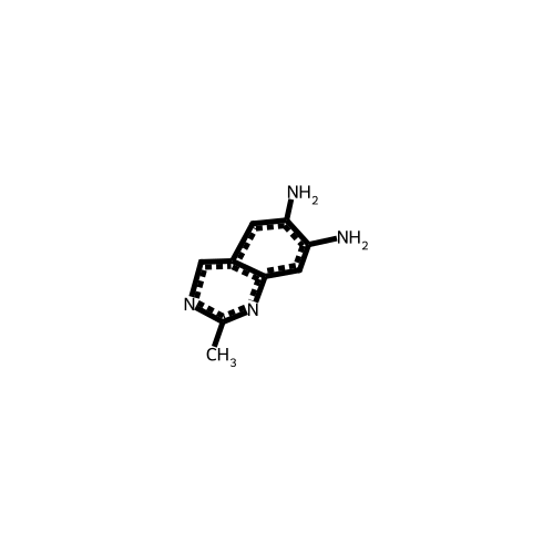 Cc1ncc2cc(N)c(N)cc2n1